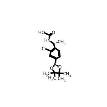 C[C@@H](NC(=O)O)c1ccc(B2OC(C)(C)C(C)(C)O2)cc1Cl